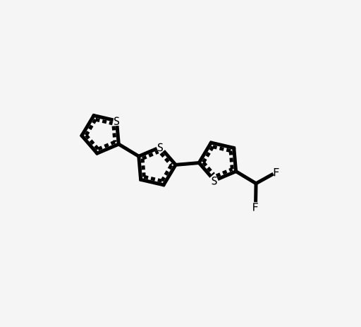 FC(F)c1ccc(-c2ccc(-c3cccs3)s2)s1